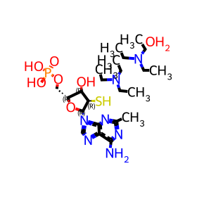 CCN(CC)CC.CCN(CC)CC.Cc1nc(N)c2ncn([C@@H]3O[C@H](COP(=O)(O)O)[C@@H](O)[C@H]3S)c2n1.O